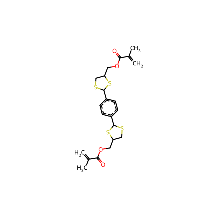 C=C(C)C(=O)OCC1CSC(c2ccc(C3SCC(COC(=O)C(=C)C)S3)cc2)S1